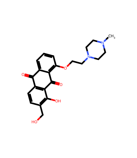 CN1CCN(CCOc2cccc3c2C(=O)c2c(ccc(CO)c2O)C3=O)CC1